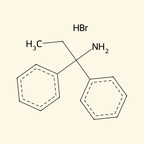 Br.CCC(N)(c1ccccc1)c1ccccc1